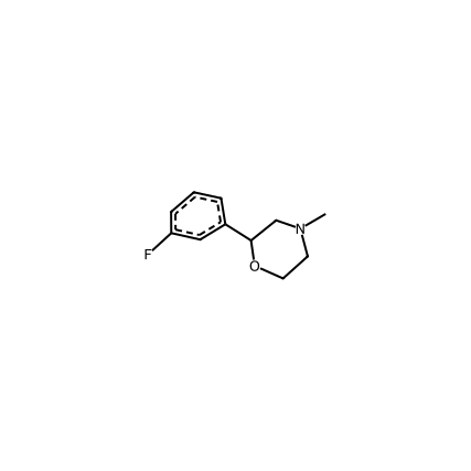 CN1CCOC(c2cccc(F)c2)C1